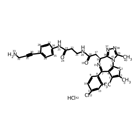 Cc1sc2c(c1C)C(c1ccc(Cl)cc1)=N[C@@H](CC(=O)NCCC(=O)Nc1ccc(C#CCN)cc1)c1nnc(C)n1-2.Cl